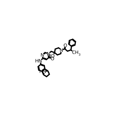 CC(CC(=O)N1CCC(O)(Cn2cnc(Nc3ccc4c(c3)C3CCC4N3)cc2=O)CC1)c1ccccc1